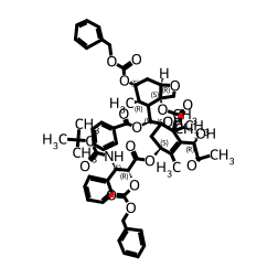 CC(=O)O[C@@]12CO[C@@H]1C[C@H](OC(=O)OCc1ccccc1)[C@H](C)C2[C@H](OC(=O)c1ccccc1)[C@]1(O)C[C@H](OC(=O)[C@H](OC(=O)OCc2ccccc2)[C@@H](NC(=O)OC(C)(C)C)c2ccccc2)C(C)=C([C@@H](O)C(C)=O)C1(C)C